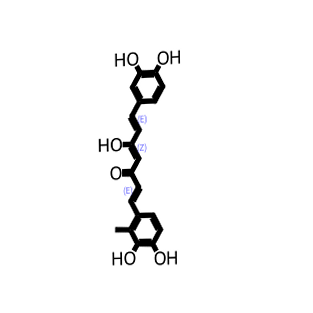 Cc1c(/C=C/C(=O)/C=C(O)/C=C/c2ccc(O)c(O)c2)ccc(O)c1O